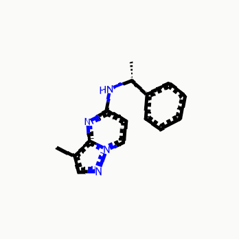 Cc1cnn2ccc(N[C@H](C)c3ccccc3)nc12